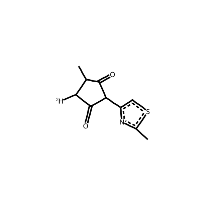 [2H]C1C(=O)C(c2csc(C)n2)C(=O)C1C